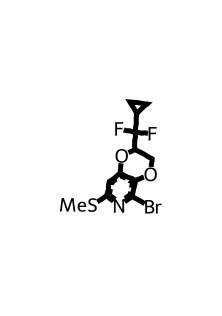 CSc1cc2c(c(Br)n1)OCC(C(F)(F)C1CC1)O2